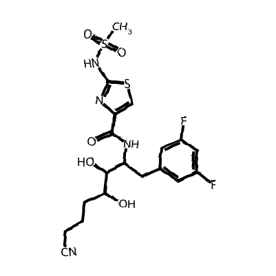 CS(=O)(=O)Nc1nc(C(=O)NC(Cc2cc(F)cc(F)c2)C(O)C(O)CCCC#N)cs1